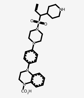 C=CC(C1CCNCC1)S(=O)(=O)N1CCN(c2ccc(N3CCN(C(=O)O)c4ccccc43)cc2)CC1